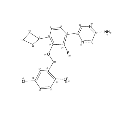 Nc1cnc(-c2ccc(C3CCC3)c(OCc3cc(Cl)ccc3C(F)(F)F)c2F)cn1